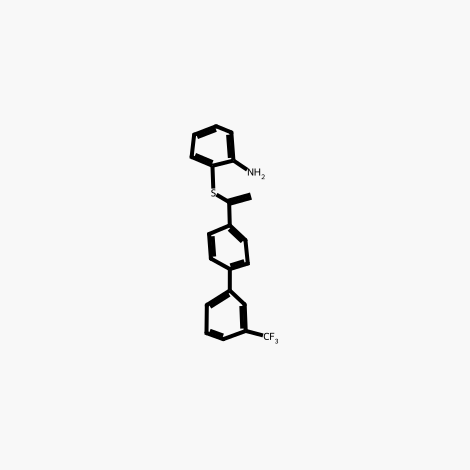 C=C(Sc1ccccc1N)c1ccc(-c2cccc(C(F)(F)F)c2)cc1